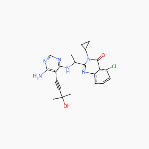 CC(Nc1ncnc(N)c1C#CC(C)(C)O)c1nc2cccc(Cl)c2c(=O)n1C1CC1